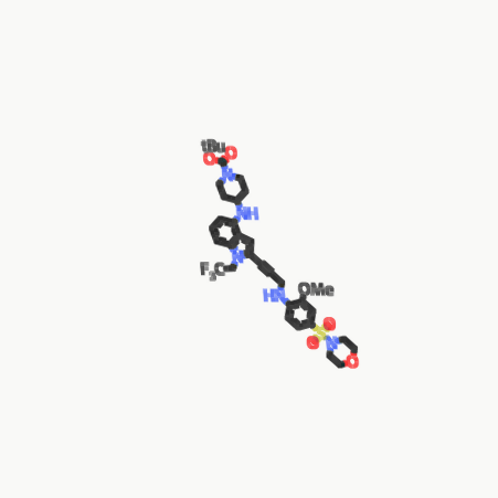 COc1cc(S(=O)(=O)N2CCOCC2)ccc1NCC#Cc1cc2c(NC3CCN(C(=O)OC(C)(C)C)CC3)cccc2n1CC(F)(F)F